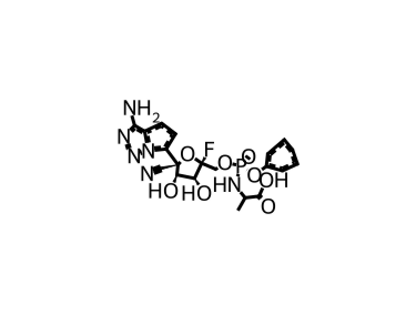 CC(NP(=O)(OC[C@@]1(F)O[C@@](C#N)(c2ccc3c(N)ncnn23)[C@H](O)[C@@H]1O)Oc1ccccc1)C(=O)O